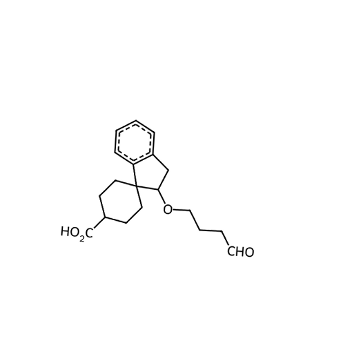 O=CCCCOC1Cc2ccccc2C12CCC(C(=O)O)CC2